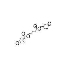 O=C(CCCCOC(=O)C1CCC2OC2C1)OCC1CCC2OC2C1